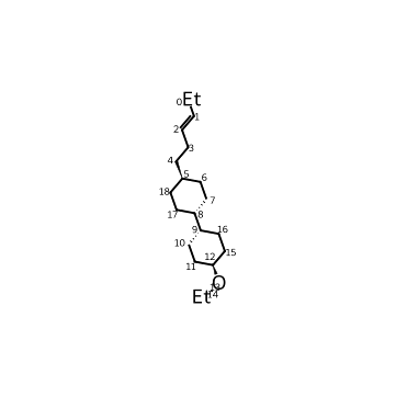 CC/C=C/CC[C@H]1CC[C@H]([C@H]2CC[C@H](OCC)CC2)CC1